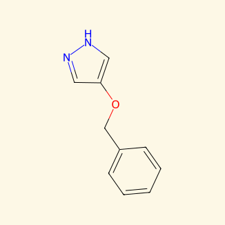 c1ccc(COc2cn[nH]c2)cc1